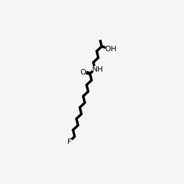 CC(O)CCCNC(=O)CCCCCCCCCCCF